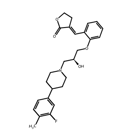 Cc1ccc(C2CCN(C[C@H](O)COc3ccccc3/C=C3\CCOC3=O)CC2)cc1F